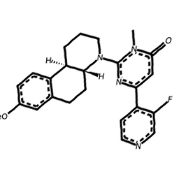 COc1ccc2c(c1)CC[C@@H]1[C@@H]2CCCN1c1nc(-c2ccncc2F)cc(=O)n1C